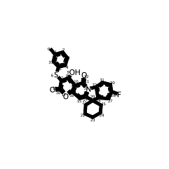 Cc1cccc(Sc2c(O)c3c(=O)n4c(cc3oc2=O)C2(CCCCC2)c2cc(F)ccc2-4)c1